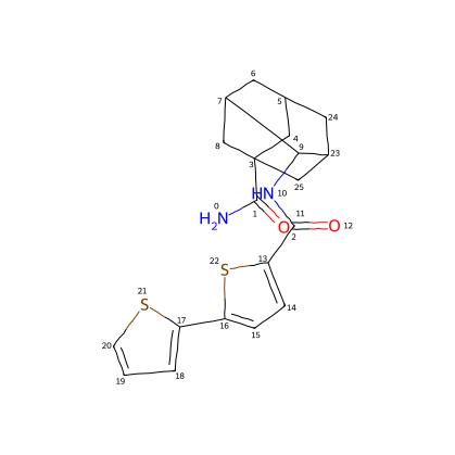 NC(=O)C12CC3CC(C1)C(NC(=O)c1ccc(-c4cccs4)s1)C(C3)C2